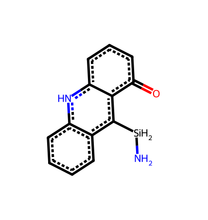 N[SiH2]c1c2c(=O)cccc-2[nH]c2ccccc12